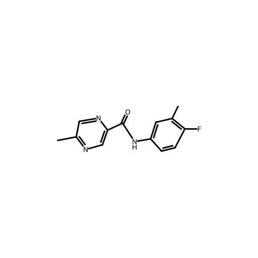 Cc1cnc(C(=O)Nc2ccc(F)c(C)c2)cn1